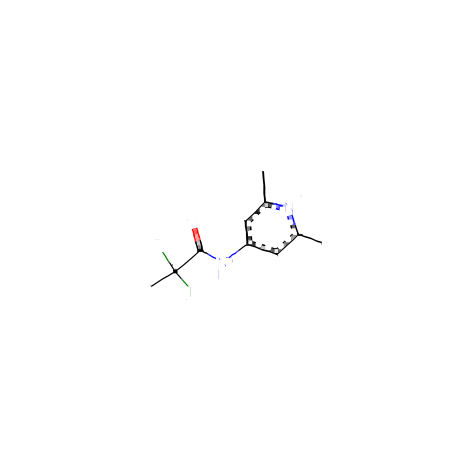 Cc1cc(NC(=O)C(C)(F)F)cc(C)n1